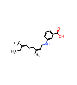 CCC(C)=CCCC(C)=CCNc1cccc(C(=O)O)c1